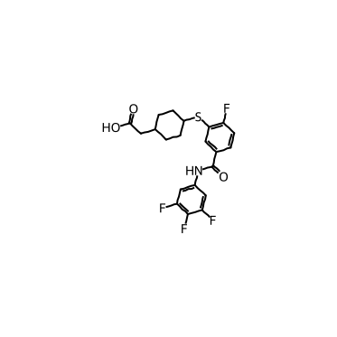 O=C(O)CC1CCC(Sc2cc(C(=O)Nc3cc(F)c(F)c(F)c3)ccc2F)CC1